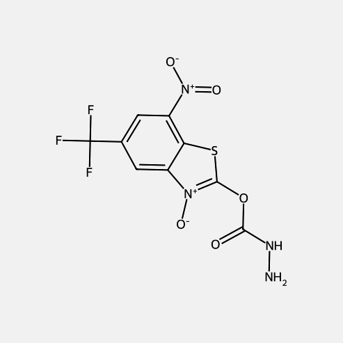 NNC(=O)Oc1sc2c([N+](=O)[O-])cc(C(F)(F)F)cc2[n+]1[O-]